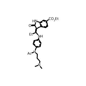 CCOC(=O)c1ccc2c(c1)NC(=O)C2=C(CC)Nc1ccc(N(CCCN(C)C)C(C)=O)cc1